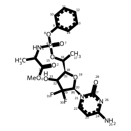 COC(=O)C(C)NP(=O)(Oc1ccccc1)OC(C)[C@H]1O[C@@H](n2ccc(N)nc2=O)C(F)(F)C1O